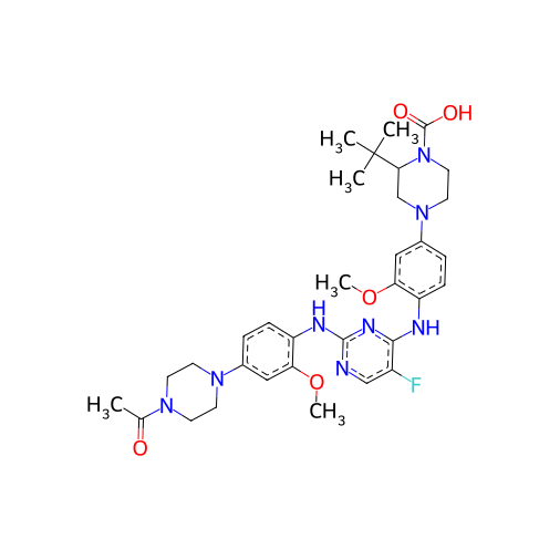 COc1cc(N2CCN(C(C)=O)CC2)ccc1Nc1ncc(F)c(Nc2ccc(N3CCN(C(=O)O)C(C(C)(C)C)C3)cc2OC)n1